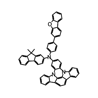 CC1(C)c2ccccc2-c2ccc(N(c3ccc(-c4ccc5c(c4)oc4ccccc45)cc3)c3ccc4c(c3)n3c5ccccc5c5ccc6c7ccccc7n4c6c53)cc21